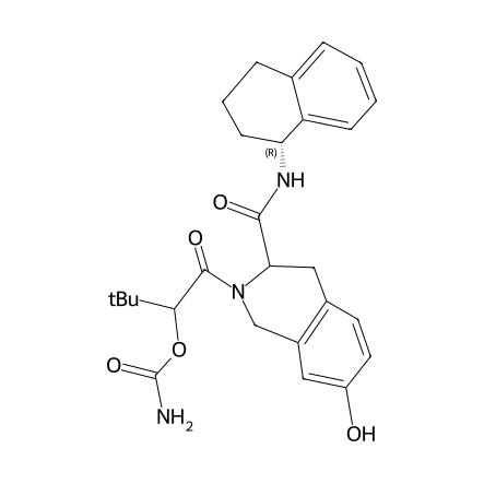 CC(C)(C)C(OC(N)=O)C(=O)N1Cc2cc(O)ccc2CC1C(=O)N[C@@H]1CCCc2ccccc21